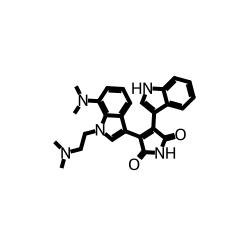 CN(C)CCn1cc(C2=C(c3c[nH]c4ccccc34)C(=O)NC2=O)c2cccc(N(C)C)c21